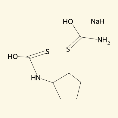 NC(O)=S.OC(=S)NC1CCCC1.[NaH]